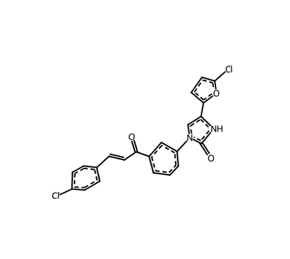 O=C(/C=C/c1ccc(Cl)cc1)c1cccc(-n2cc(-c3ccc(Cl)o3)[nH]c2=O)c1